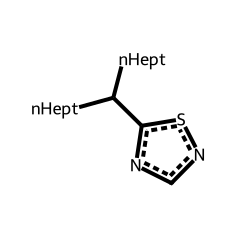 CCCCCCCC(CCCCCCC)c1ncns1